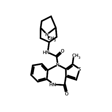 Cc1scc2c1N(C(=O)NC1CC3CCC(C1)N3C)c1ccccc1NC2=O